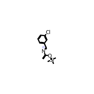 C=C(/N=C/c1cccc(Cl)c1)O[Si](C)(C)C